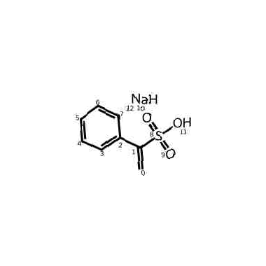 C=C(c1ccccc1)S(=O)(=O)O.[NaH]